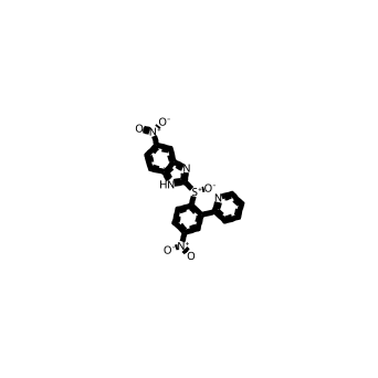 O=[N+]([O-])c1ccc([S+]([O-])c2nc3cc([N+](=O)[O-])ccc3[nH]2)c(-c2ccccn2)c1